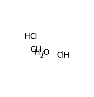 C.Cl.Cl.O